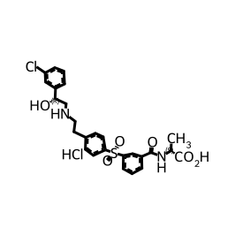 C[C@H](NC(=O)c1cccc(S(=O)(=O)c2ccc(CCNC[C@H](O)c3cccc(Cl)c3)cc2)c1)C(=O)O.Cl